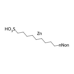 CCCCCCCCCCCCCCCCCCS(=O)(=O)O.[Zn]